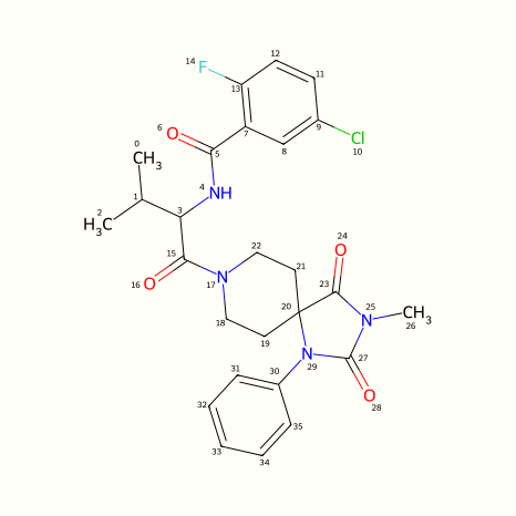 CC(C)C(NC(=O)c1cc(Cl)ccc1F)C(=O)N1CCC2(CC1)C(=O)N(C)C(=O)N2c1ccccc1